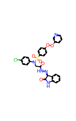 O=C(CN(c1ccc(Cl)cc1)S(=O)(=O)c1ccc(OOc2cccnc2)cc1)NN=C1C(=O)Nc2ccccc21